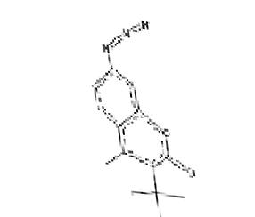 Cc1c(C(C)(C)C)c(=O)oc2cc(N=[N+]=[N-])ccc12